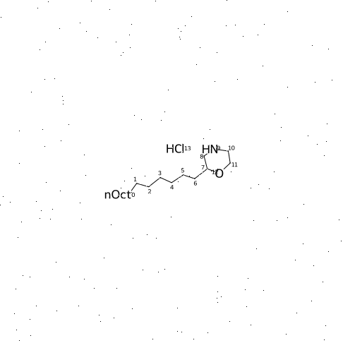 CCCCCCCCCCCCCCC1CNCCO1.Cl